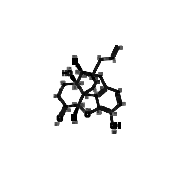 C=CCN1CCC23c4c5ccc(O)c4O[C@@H]2C(=O)CC[C@]3(O)[C@@H]1C5